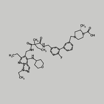 CCc1nc2c(cnn2CC)c(NC2CCOCC2)c1CNC(=O)C(C)(CC)C(=O)NCc1ccc(F)c(-c2cccc(CN3CCN(C(=O)O)[C@@H](C)C3)c2)c1